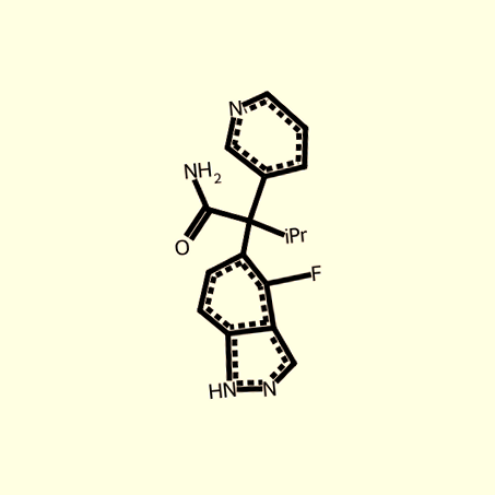 CC(C)C(C(N)=O)(c1cccnc1)c1ccc2[nH]ncc2c1F